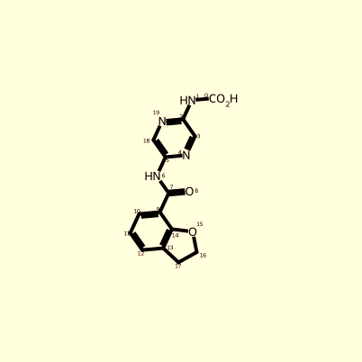 O=C(O)Nc1cnc(NC(=O)c2cccc3c2OCC3)cn1